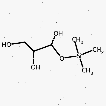 C[Si](C)(C)OC(O)C(O)CO